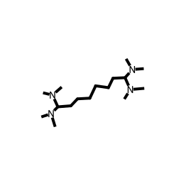 CN(C)C(CCCCCCC(N(C)C)N(C)C)N(C)C